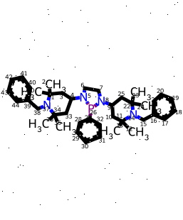 CC1(C)CC(N2CCN(C3CC(C)(C)N(Cc4ccccc4)C(C)(C)C3)P2c2ccccc2)CC(C)(C)N1Cc1ccccc1